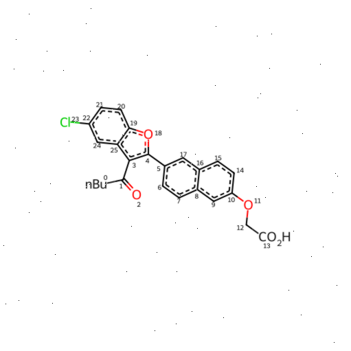 CCCCC(=O)c1c(-c2ccc3cc(OCC(=O)O)ccc3c2)oc2ccc(Cl)cc12